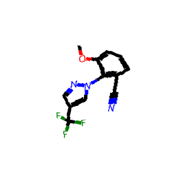 COc1cccc(C#N)c1-n1cc(C(F)(F)F)cn1